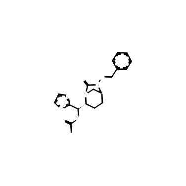 CC(=O)OC(c1nccs1)[C@@H]1CCC2CN1C(=O)N2OCc1ccccc1